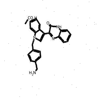 CC(=O)O.NCc1ccc(Cn2cc(-c3nc4ccccc4[nH]c3=O)c3ccccc32)cc1